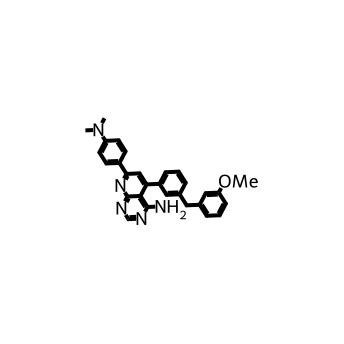 COc1cccc(Cc2cccc(-c3cc(-c4ccc(N(C)C)cc4)nc4ncnc(N)c34)c2)c1